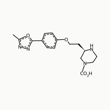 Cc1nnc(-c2ccc(OCC[C@@H]3CN(C(=O)O)CCN3)cc2)o1